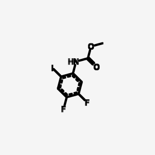 COC(=O)Nc1cc(F)c(F)cc1I